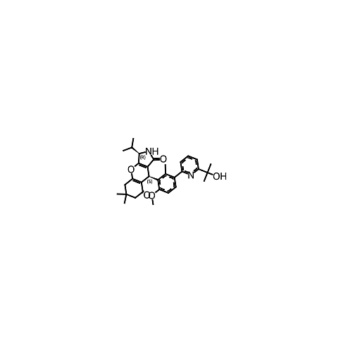 COc1ccc(-c2cccc(C(C)(C)O)n2)c(C)c1[C@H]1C2=C(CC(C)(C)CC2=O)OC2=C1C(=O)N[C@@H]2C(C)C